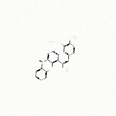 COc1ccc(/C=C(/C#N)c2cccc3c(=O)c4ccccc4oc23)cc1OC